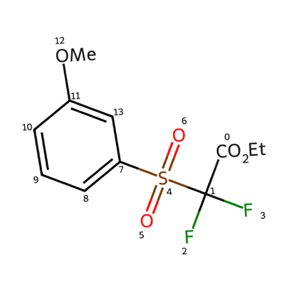 CCOC(=O)C(F)(F)S(=O)(=O)c1cccc(OC)c1